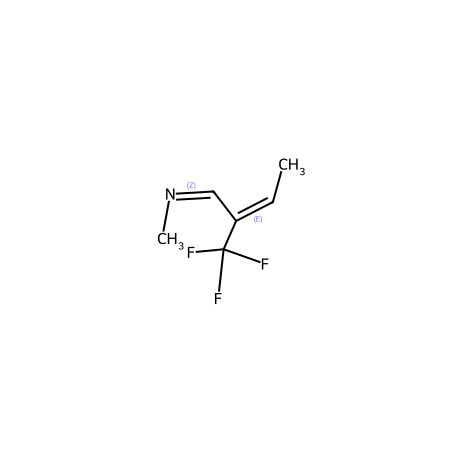 C/C=C(\C=N/C)C(F)(F)F